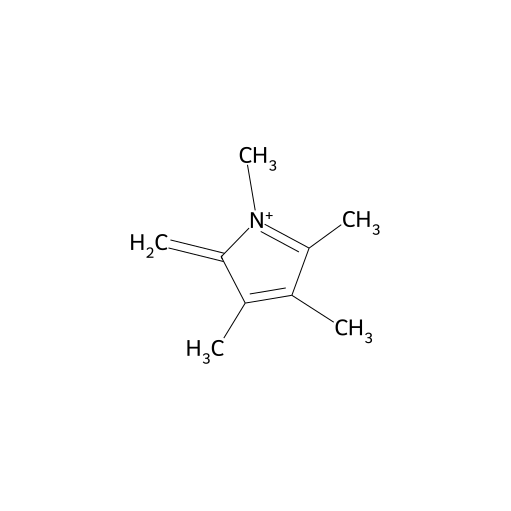 C=C1C(C)=C(C)C(C)=[N+]1C